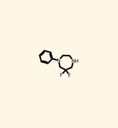 FC1(F)CNCCN(c2ccccc2)C1